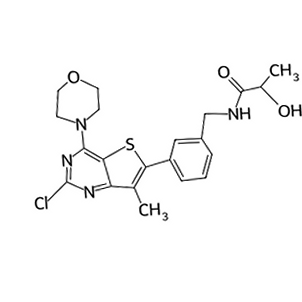 Cc1c(-c2cccc(CNC(=O)C(C)O)c2)sc2c(N3CCOCC3)nc(Cl)nc12